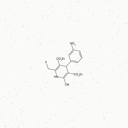 CCOC(=O)C1=C(C#N)NC(CF)=C(C(=O)OCC)C1c1cccc([N+](=O)[O-])c1